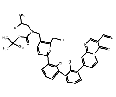 COc1nc(-c2cccc(-c3cccc(-c4ccn5c(=O)c(C=O)cnc5c4)c3Cl)c2Cl)ccc1CN(CC(C)O)C(=O)OC(C)(C)C